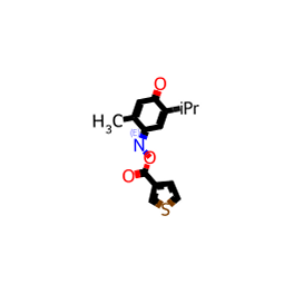 CC1=CC(=O)C(C(C)C)=C/C1=N\OC(=O)c1ccsc1